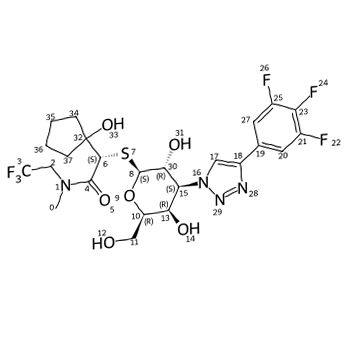 CN(CC(F)(F)F)C(=O)[C@@H](S[C@@H]1O[C@H](CO)[C@H](O)[C@H](n2cc(-c3cc(F)c(F)c(F)c3)nn2)[C@H]1O)C1(O)CCCC1